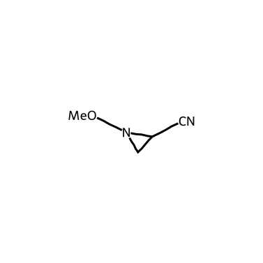 CON1CC1C#N